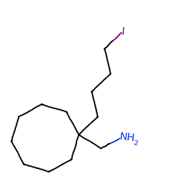 NCC1(CCCCI)CCCCCCC1